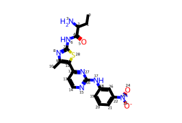 CCC(N)C(=O)Nc1nc(C)c(-c2ccnc(Nc3cccc([N+](=O)[O-])c3)n2)s1